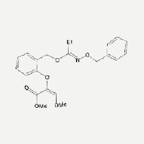 CC/C(=N\OCc1ccccc1)OCc1ccccc1O/C(=C/OC)C(=O)OC